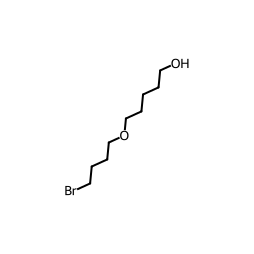 OCCCCCOCCCCBr